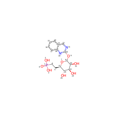 O=P(O)(O)CC[C@H]1OC(Oc2ncc3ccccc3n2)[C@@H](O)[C@@H](O)[C@@H]1O